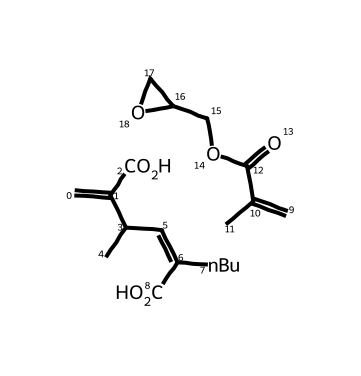 C=C(C(=O)O)C(C)C=C(CCCC)C(=O)O.C=C(C)C(=O)OCC1CO1